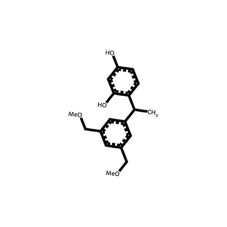 COCc1cc(COC)cc(C(C)c2ccc(O)cc2O)c1